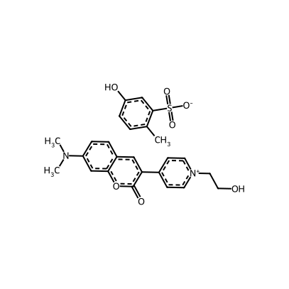 CN(C)c1ccc2cc(-c3cc[n+](CCO)cc3)c(=O)oc2c1.Cc1ccc(O)cc1S(=O)(=O)[O-]